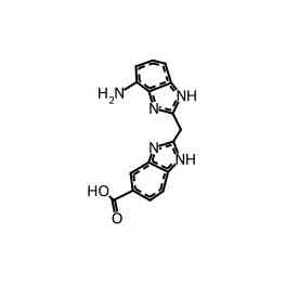 Nc1cccc2[nH]c(Cc3nc4cc(C(=O)O)ccc4[nH]3)nc12